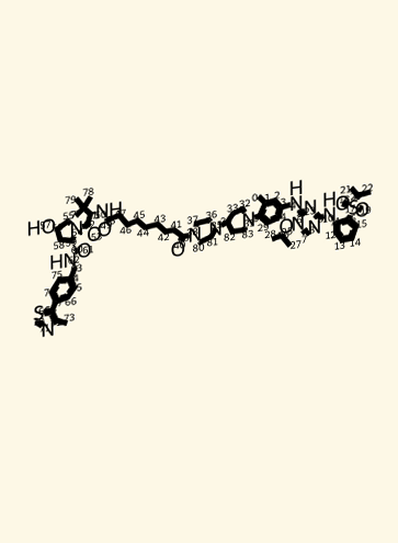 Cc1cc(Nc2ncnc(Nc3ccccc3S(=O)(=O)C(C)C)n2)c(OC(C)C)cc1N1CCC(N2CCN(C(=O)CCCCCCCC(=O)N[C@H](C(=O)N3C[C@H](O)C[C@H]3C(=O)NCc3ccc(-c4scnc4C)cc3)C(C)(C)C)CC2)CC1